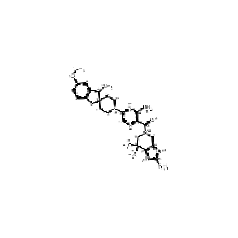 COc1ccc2c(c1)C(N)C1(CCN(c3cnc(C(=O)N4Cc5sc(N)nc5C(C)(C)C4)c(N)n3)CC1)C2